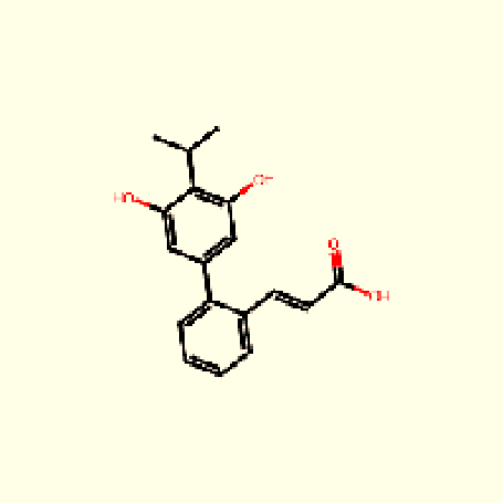 CC(C)c1c(O)cc(-c2ccccc2/C=C/C(=O)O)cc1O